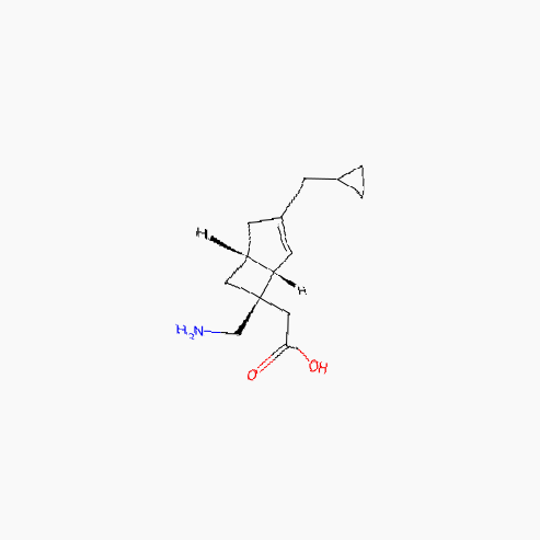 NC[C@@]1(CC(=O)O)C[C@@H]2CC(CC3CC3)=C[C@@H]21